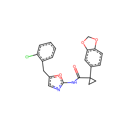 O=C(Nc1ncc(Cc2ccccc2Cl)o1)C1(c2ccc3c(c2)OCO3)CC1